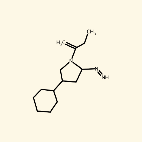 C=C(CC)N1CC(C2CCCCC2)CC1N=N